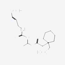 CC(OC(=O)CC1(CC(=O)O)CCCCC1)OC(=O)NC/C=C/S(=O)(=O)O